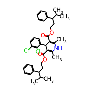 CC1=C(C(=O)OCCC(c2ccccc2)C(C)C)C(c2cccc(Cl)c2Cl)C(C(=O)OCCC(c2ccccc2)C(C)C)=C(C)N1